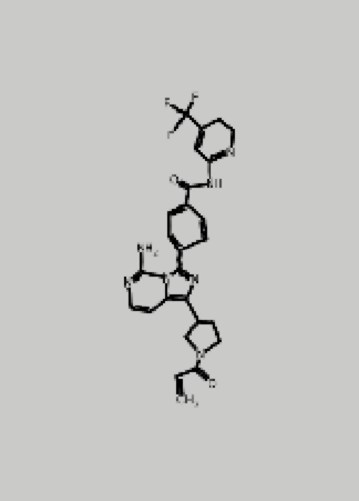 C=CC(=O)N1CCC(c2nc(-c3ccc(C(=O)NC4=NCCC(C(F)(F)F)=C4)cc3)n3c(N)nccc23)C1